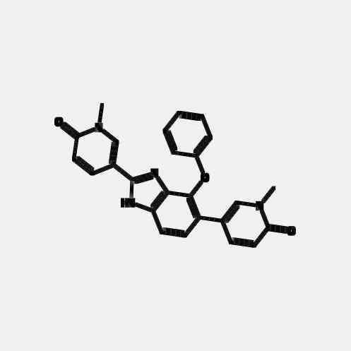 Cn1cc(-c2nc3c(Oc4ccccc4)c(-c4ccc(=O)n(C)c4)ccc3[nH]2)ccc1=O